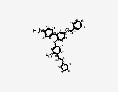 COc1cc(Cc2ccc(OCc3ccccc3)cc2-c2ccc(N)cc2)ccc1CCN1CCCC1